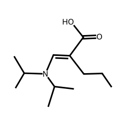 CCCC(=CN(C(C)C)C(C)C)C(=O)O